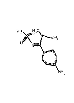 CN(C)/C(=N\S(C)(=O)=O)c1ccc(N)cc1